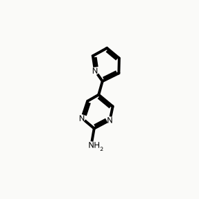 Nc1ncc(-c2ccccn2)cn1